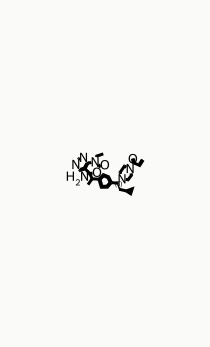 C=CC(=O)N1CCN([C@@H](CC2CC2)c2ccc(C(C)C3(N)OC(=O)N(CC)c4ncncc43)cc2)CC1